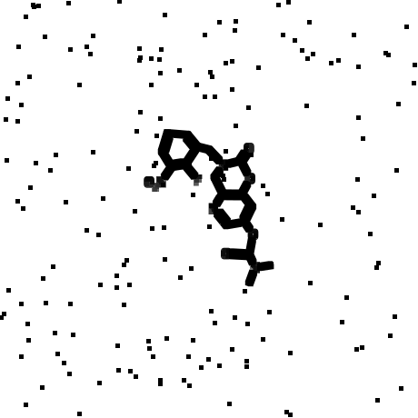 CN(C)C(=O)Oc1cnc2c(c1)OC(=O)N(Cc1cccc([N+](=O)[O-])c1F)C2